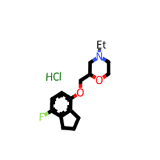 CCN1CCOC(COc2ccc(F)c3c2CCC3)C1.Cl